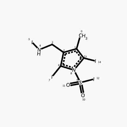 Cc1c(CNI)c(I)n(S(=O)(=O)I)c1I